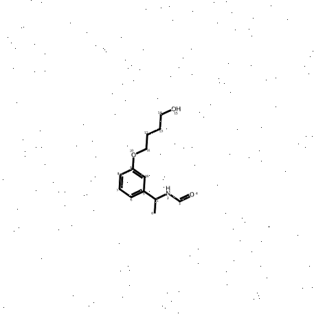 CC(NC=O)c1cccc(OCCCCO)c1